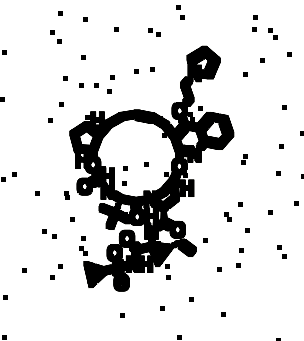 C=C[C@@H]1C[C@]1(NC(=O)[C@@H]1C[C@@H]2CN1C(=O)[C@H](C(C)(C)C)NC(=O)O[C@@H]1CCC[C@H]1CCC=CCc1c(nc3ccccc3c1OCCn1cccc1)O2)C(=O)NS(=O)(=O)C1CC1